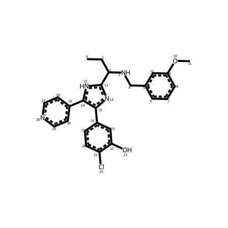 CCC(NCc1cccc(OC)c1)c1nc(-c2ccc(Cl)c(O)c2)c(-c2ccncc2)[nH]1